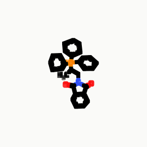 CC(CN1C(=O)c2ccccc2C1=O)[PH](c1ccccc1)(c1ccccc1)c1ccccc1